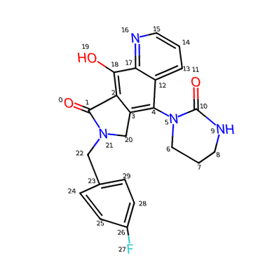 O=C1c2c(c(N3CCCNC3=O)c3cccnc3c2O)CN1Cc1ccc(F)cc1